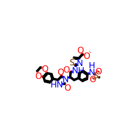 COC(=O)c1csc(NC(=O)C(Cc2ccc(NS(C)(=O)=O)cc2)N2C(=O)NC(c3ccc4c(c3)OCCO4)C2=O)n1